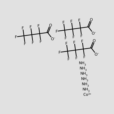 N.N.N.N.N.N.O=C([O-])C(F)(F)C(F)(F)C(F)(F)F.O=C([O-])C(F)(F)C(F)(F)C(F)(F)F.O=C([O-])C(F)(F)C(F)(F)C(F)(F)F.[Co+3]